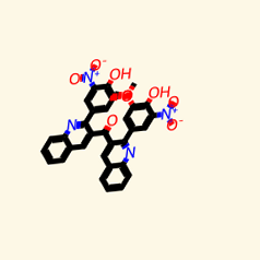 COc1cc(-c2nc3ccccc3cc2C(=O)c2cc3ccccc3nc2-c2cc(OC)c(O)c([N+](=O)[O-])c2)cc([N+](=O)[O-])c1O